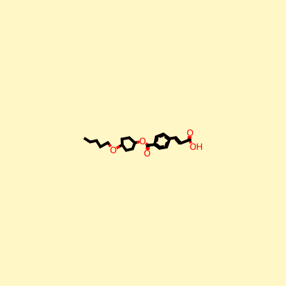 CCCCCOC1CCC(OC(=O)c2ccc(/C=C/C(=O)O)cc2)CC1